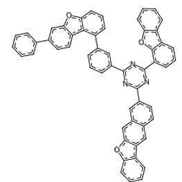 c1ccc(-c2ccc3c(c2)oc2cccc(-c4cccc(-c5nc(-c6ccc7cc8c(cc7c6)oc6ccccc68)nc(-c6cccc7c6oc6ccccc67)n5)c4)c23)cc1